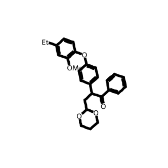 CCc1ccc(Oc2ccc(C(CC3OCCCO3)C(=O)c3ccccc3)cc2)c(OC)c1